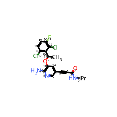 CC(C)NC(=O)C#Cc1cnc(N)c(OC(C)c2c(Cl)ccc(F)c2Cl)c1